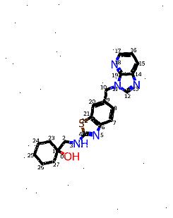 OC1(CNc2nc3ccc(Cn4cnc5cccnc54)cc3s2)CCCCC1